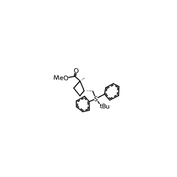 COC(=O)[C@]1(C)CC[C@H]1CS(c1ccccc1)(c1ccccc1)C(C)(C)C